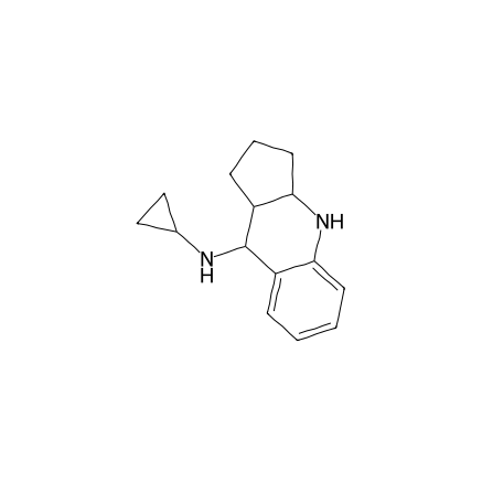 c1ccc2c(c1)NC1CCCC1C2NC1CC1